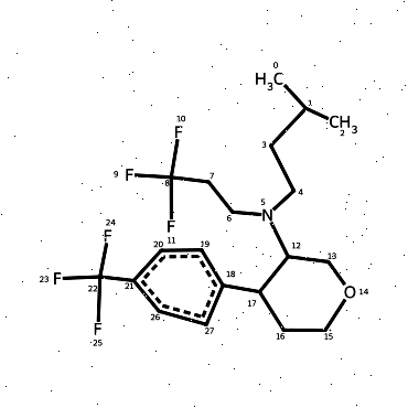 CC(C)CCN(CCC(F)(F)F)C1CO[CH]CC1c1ccc(C(F)(F)F)cc1